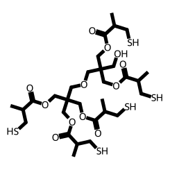 CC(CS)C(=O)OCC(CO)(COCC(COC(=O)C(C)CS)(COC(=O)C(C)CS)COC(=O)C(C)CS)COC(=O)C(C)CS